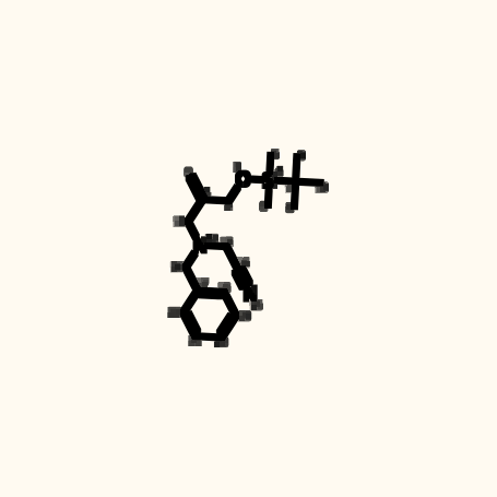 C=C(CO[Si](C)(C)C(C)(C)C)CN(CC#N)Cc1ccccc1